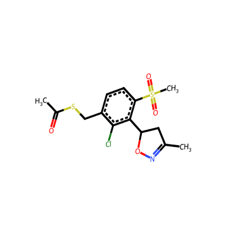 CC(=O)SCc1ccc(S(C)(=O)=O)c(C2CC(C)=NO2)c1Cl